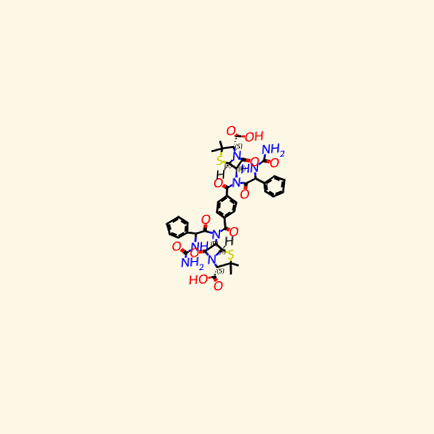 CC1(C)S[C@@H]2[C@H](N(C(=O)c3ccc(C(=O)N(C(=O)C(NC(N)=O)c4ccccc4)[C@@H]4C(=O)N5[C@@H]4SC(C)(C)[C@@H]5C(=O)O)cc3)C(=O)C(NC(N)=O)c3ccccc3)C(=O)N2[C@H]1C(=O)O